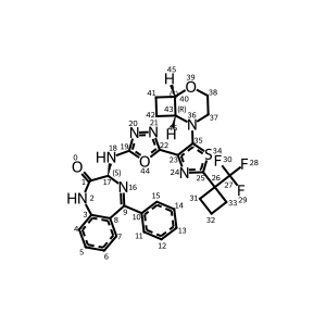 O=C1Nc2ccccc2C(c2ccccc2)=N[C@@H]1Nc1nnc(-c2nc(C3(C(F)(F)F)CCC3)sc2N2CCO[C@H]3CC[C@H]32)o1